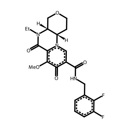 CCN1C(=O)c2c(OC)c(=O)c(C(=O)NCc3cccc(F)c3F)cn2[C@H]2CCOC[C@H]21